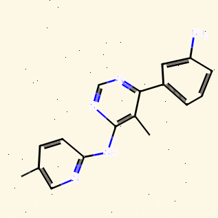 Cc1c(Nc2ccc(C(F)(F)F)cn2)ncnc1-c1cccc(N)c1